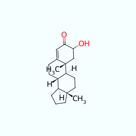 C[C@@]12CCC[C@H]1[C@@H]1CCC3=CC(=O)C(O)C[C@]3(C)[C@H]1CC2